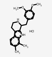 COc1ccc(CC2NCCc3c2[nH]c2c(C)c(C)ccc32)cc1OC.Cl